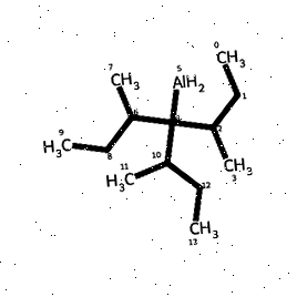 CCC(C)[C]([AlH2])(C(C)CC)C(C)CC